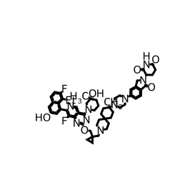 CCc1c(F)ccc2cc(O)cc(-c3ncc4c(N5CCC[C@@](C)(O)C5)nc(OCC5(CN6CCC7(CC6)CCC(C)(N6CCN(c8ccc9c(c8)CN(C8CCC(=O)NC8=O)C9=O)CC6)CC7)CC5)nc4c3F)c12